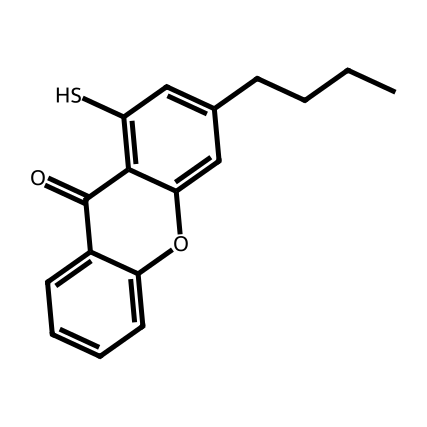 CCCCc1cc(S)c2c(=O)c3ccccc3oc2c1